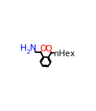 CCCCCCC(=O)c1ccccc1C(=O)CN